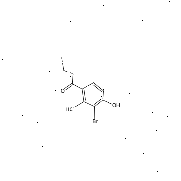 CCCC(=O)c1ccc(O)c(Br)c1O